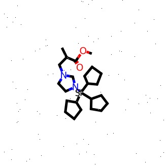 COC(=O)C(C)CN1CCN([Si](C2CCCC2)(C2CCCC2)C2CCCC2)C1